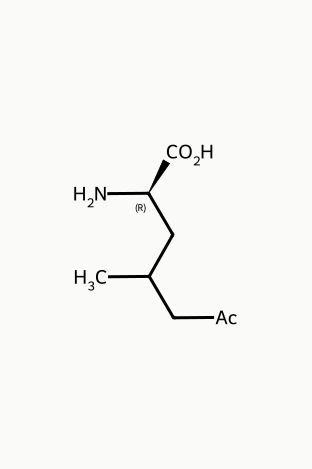 CC(=O)CC(C)C[C@@H](N)C(=O)O